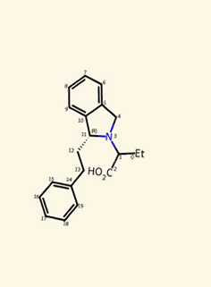 CCC(C(=O)O)N1Cc2ccccc2[C@H]1CCc1ccccc1